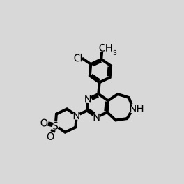 Cc1ccc(-c2nc(N3CCS(=O)(=O)CC3)nc3c2CCNCC3)cc1Cl